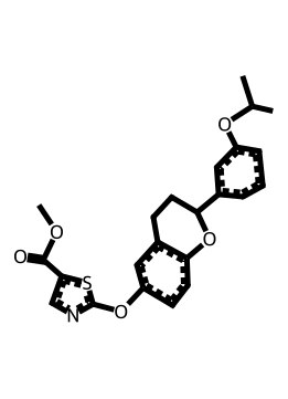 COC(=O)c1cnc(Oc2ccc3c(c2)CCC(c2cccc(OC(C)C)c2)O3)s1